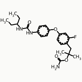 CCC(CC)NC(=O)Nc1ccc(Oc2ccc(CC(C)(C)OC(N)=O)c(F)c2)cc1